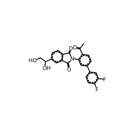 CC(=O)c1ccc(-c2ccc(F)c(F)c2)cc1N1C(=O)c2ccc(C(O)CO)cc2C1=O